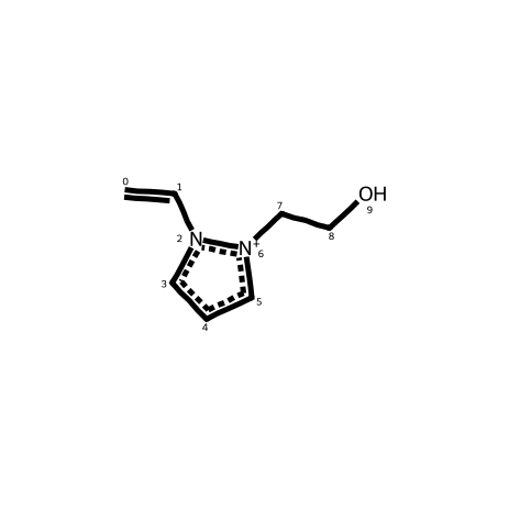 C=Cn1ccc[n+]1CCO